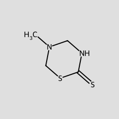 CN1CNC(=S)SC1